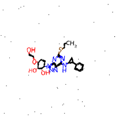 CCCSc1nc(NC2CC2c2ccccc2)c2nnn([C@@H]3CC[C@H](OCCO)[C@@H](O)[C@H]3O)c2n1